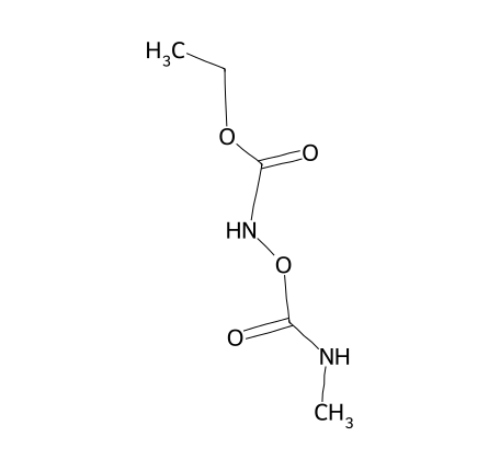 CCOC(=O)NOC(=O)NC